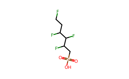 O=S(=O)(O)CC(F)C(F)C(F)CCF